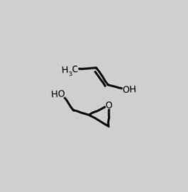 CC=CO.OCC1CO1